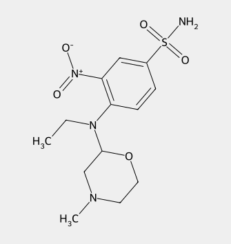 CCN(c1ccc(S(N)(=O)=O)cc1[N+](=O)[O-])C1CN(C)CCO1